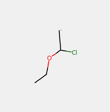 [CH2]C(Cl)OCC